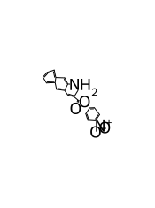 CC(=Cc1cc2ccccc2cc1N)C(=O)Oc1ccc([N+](=O)[O-])cc1